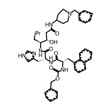 CC(C)C[C@H](NC(=O)[C@@H](Cc1c[nH]cn1)NC(=O)[C@H](Cc1cccc2ccccc12)NC(=O)OCc1ccccc1)[C@@H](O)CC(=O)NC1CCN(Cc2ccccc2)CC1